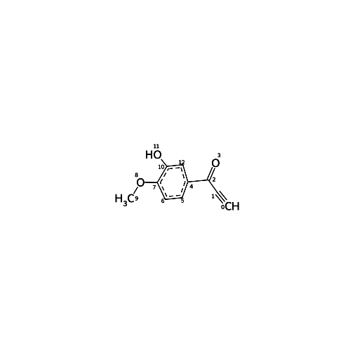 C#CC(=O)c1ccc(OC)c(O)c1